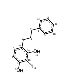 Oc1ccc(CCCc2ccccc2)c(O)c1I